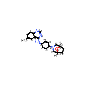 N#Cc1ccc2ncnc(NC3CCC(N4C[C@H]5CC[C@@H](C4)O5)CC3)c2c1